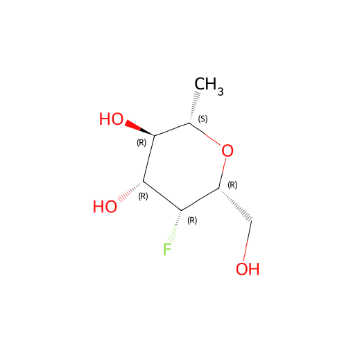 C[C@@H]1O[C@H](CO)[C@H](F)[C@H](O)[C@H]1O